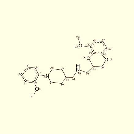 COc1ccccc1N1CCC(CNCC2COc3cccc(OC)c3O2)CC1